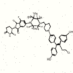 [2H]C1([2H])N(CC2CCN(c3ccc(C(=C(CCCl)c4ccc(O)cc4)c4ccc(O)cc4)cc3)CC2)C([2H])([2H])C([2H])([2H])N(c2cc(F)c3c(c2)C(=O)N(C2CCC(=O)NC2=O)C3=O)C1([2H])[2H]